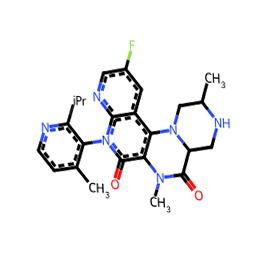 Cc1ccnc(C(C)C)c1-n1c(=O)c2c(c3cc(F)cnc31)N1CC(C)NCC1C(=O)N2C